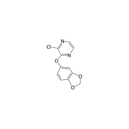 Clc1nccnc1Oc1ccc2c(c1)OCO2